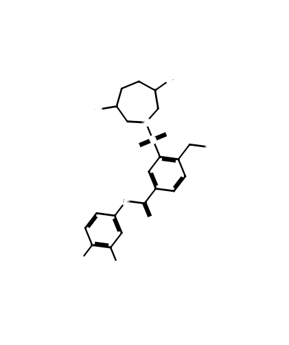 O=C(Nc1ccc(F)c(Cl)c1)c1ccc(CF)c(S(=O)(=O)N2CC(O)CCC(O)C2)c1